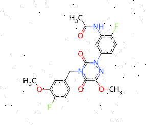 COc1cc(Cn2c(=O)c(OC)nn(-c3ccc(F)c(NC(C)=O)c3)c2=O)ccc1F